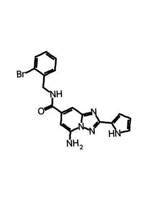 Nc1cc(C(=O)NCc2ccccc2Br)cc2nc(-c3ccc[nH]3)nn12